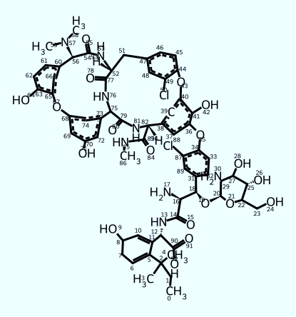 CCC(C)(C)C1=CCC(O)C=C1[C@H](NC(=O)[C@@H](N)[C@H](O[C@@H]1OC(CO)[C@@H](O)C(O)C1N)c1ccc(Oc2cc3cc(c2O)Oc2ccc(cc2Cl)C[C@H]2NC(=O)[C@H](N(C)C)c4ccc(O)c(c4)Oc4cc(O)cc(c4)C(NC2=O)C(=O)N[C@H]3C(=O)NC)c(Cl)c1)C(=O)O